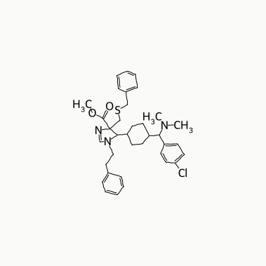 COC(=O)C1(CSCc2ccccc2)N=CN(CCc2ccccc2)C1C1CCC(C(c2ccc(Cl)cc2)N(C)C)CC1